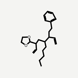 C=CC(CCc1ccccc1)C(CCCCC)CC(C=C)C1OCCO1